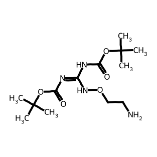 CC(C)(C)OC(=O)N=C(NOCCN)NC(=O)OC(C)(C)C